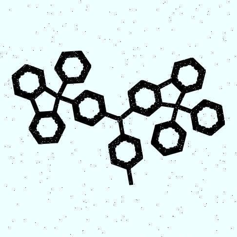 Cc1ccc(N(c2ccc(C3(c4ccccc4)c4ccccc4-c4ccccc43)cc2)c2ccc3c(c2)C(c2ccccc2)(c2ccccc2)c2ccccc2-3)cc1